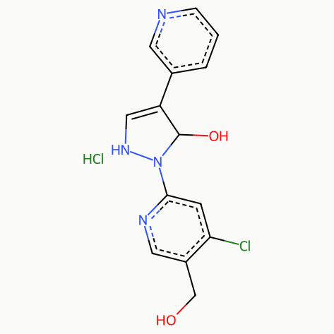 Cl.OCc1cnc(N2NC=C(c3cccnc3)C2O)cc1Cl